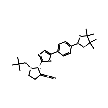 CC(C)(C)ON1CCC(=C=O)[C@H]1c1ncc(-c2ccc(B3OC(C)(C)C(C)(C)O3)cc2)[nH]1